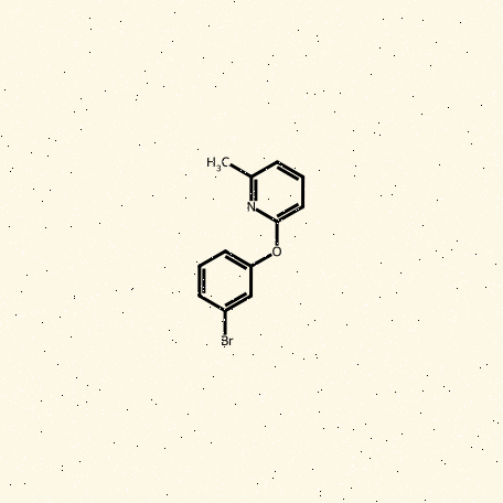 Cc1cccc(Oc2cccc(Br)c2)n1